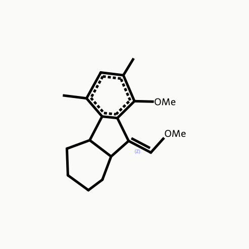 CO/C=C1\c2c(OC)c(C)cc(C)c2C2CCCCC12